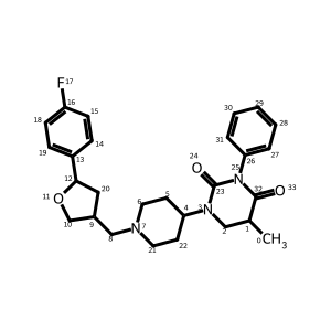 CC1CN(C2CCN(CC3COC(c4ccc(F)cc4)C3)CC2)C(=O)N(c2ccccc2)C1=O